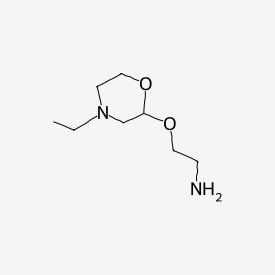 CCN1CCOC(OCCN)C1